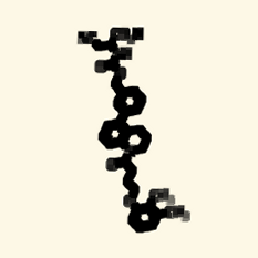 Cc1cccc(OCCCC(=O)N2CCCc3c(-c4cccc(COC(=O)N[C@@H](CC#N)C(=O)O)c4)cccc32)c1C